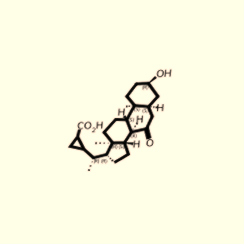 C[C@H](C1CC1C(=O)O)[C@H]1CC[C@H]2[C@@H]3C(=O)C[C@@H]4C[C@H](O)CC[C@]4(C)[C@H]3CC[C@]12C